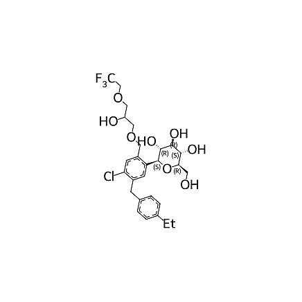 CCc1ccc(Cc2cc([C@@H]3O[C@H](CO)[C@@H](O)[C@H](O)[C@H]3O)c(COCC(O)COCC(F)(F)F)cc2Cl)cc1